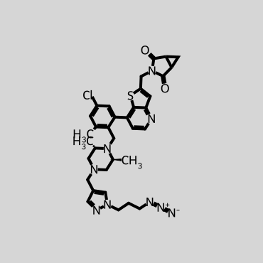 Cc1cc(Cl)cc(-c2ccnc3cc(CN4C(=O)C5CC5C4=O)sc23)c1CN1[C@@H](C)CN(Cc2cnn(CCCN=[N+]=[N-])c2)C[C@@H]1C